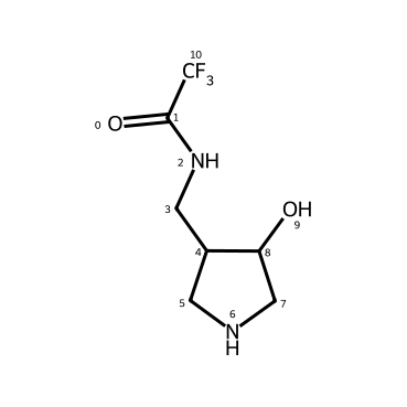 O=C(NCC1CNCC1O)C(F)(F)F